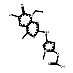 CCn1c(=O)c(Cl)cc2c(C)nc(Nc3cc(OC(=O)O)n(C)c3)nc21